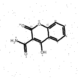 NC(=O)c1c(O)c2ccccc2oc1=O